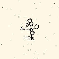 CN(C)CC1COc2c(ccc3cccnc23)-c2c(C3CCCCC3)c3ccc(C(=O)O)cc3n2C1